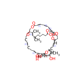 C/C(=C\[C@H](C)CCCCC(=O)O)C1OC2C=CC1OC(=O)\C=C/C=C\C=C\[C@H]1OC3CC1O[C@@H](/C=C/C[C@H]1O[C@H](C[C@H](O)[C@H]1C)[C@@H](O)[C@@H](O)/C=C/CC/C=C/C2)C3